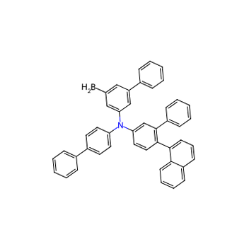 Bc1cc(-c2ccccc2)cc(N(c2ccc(-c3ccccc3)cc2)c2ccc(-c3cccc4ccccc34)c(-c3ccccc3)c2)c1